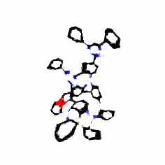 Cc1ccc2c(c1)c1cc(C)ccc1n2-c1ccc(-c2nc(-c3ccccc3)cc(-c3ccccc3)n2)cc1-c1nc(-c2ccccc2)nc(-c2cccc(-c3ccc4c5c3N(c3ccccc3)c3ccccc3B5c3ccccc3N4c3ccccc3)c2)n1